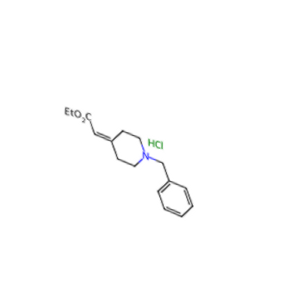 CCOC(=O)C=C1CCN(Cc2ccccc2)CC1.Cl